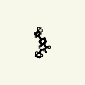 CN(CC1OCCO1)C(=O)c1ccc(-c2noc(C(F)(F)F)n2)cc1F